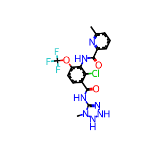 Cc1cccc(C(=O)Nc2c(OC(F)(F)F)ccc(C(=O)NC3=NNNN3C)c2Cl)n1